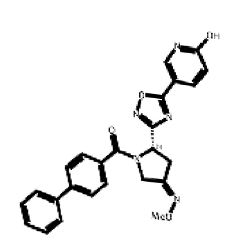 CON=C1C[C@@H](c2noc(-c3ccc(O)nc3)n2)N(C(=O)c2ccc(-c3ccccc3)cc2)C1